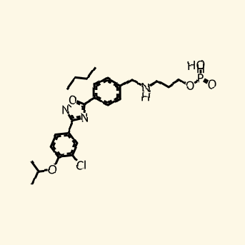 CC(C)Oc1ccc(-c2noc(-c3ccc(CNCCCO[PH](=O)O)cc3)n2)cc1Cl.CCCC